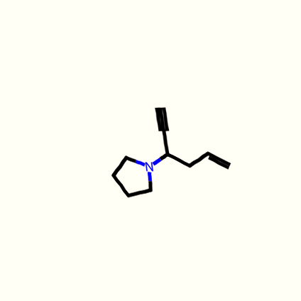 C#CC(CC=C)N1CCCC1